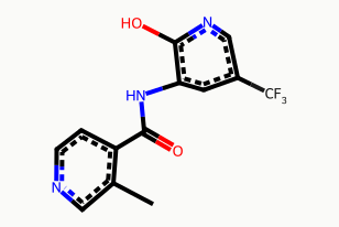 Cc1cnccc1C(=O)Nc1cc(C(F)(F)F)cnc1O